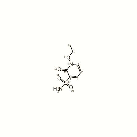 CCOn1cccc(S(N)(=O)=O)c1=O